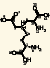 N[C@@H](CS[SH](CC(=O)O)C[C@H](N)C(=O)O)C(=O)O